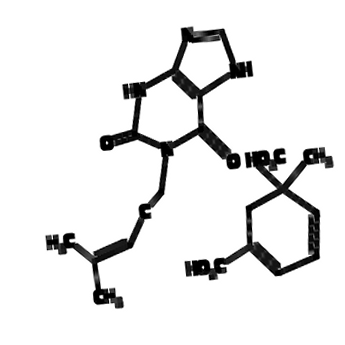 CC(C)=CCCn1c(=O)[nH]c2nc[nH]c2c1=O.CC1(C(=O)O)C=CC=C(C(=O)O)C1